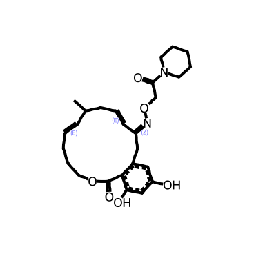 CC1/C=C/CCCOC(=O)c2c(O)cc(O)cc2CC(=N/OCC(=O)N2CCCCC2)/C=C/C1